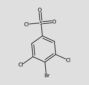 O=S(=O)(Cl)c1cc(Cl)c(Br)c(Cl)c1